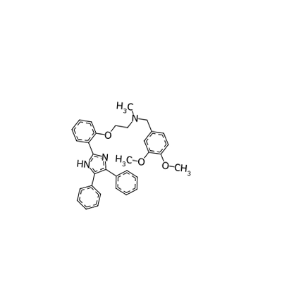 COc1ccc(CN(C)CCOc2ccccc2-c2nc(-c3ccccc3)c(-c3ccccc3)[nH]2)cc1OC